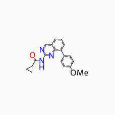 COc1ccc(-c2cccc3cnc(NC(=O)C4CC4)nc23)cc1